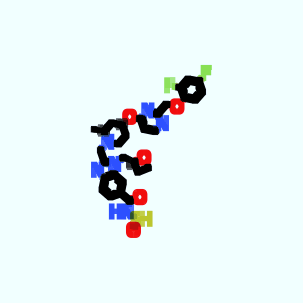 C[C@H]1C[C@@H](Oc2ccnc(COc3ccc(F)cc3F)n2)CCN1Cc1nc2ccc(C(=O)N[SH]=O)cc2n1C[C@@H]1CCO1